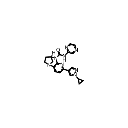 O=C(Nc1cnccn1)N1c2nc(-c3cnn(C4CC4)c3)ccc2N2CC[C@H]1C2